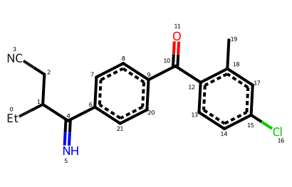 CCC(CC#N)C(=N)c1ccc(C(=O)c2ccc(Cl)cc2C)cc1